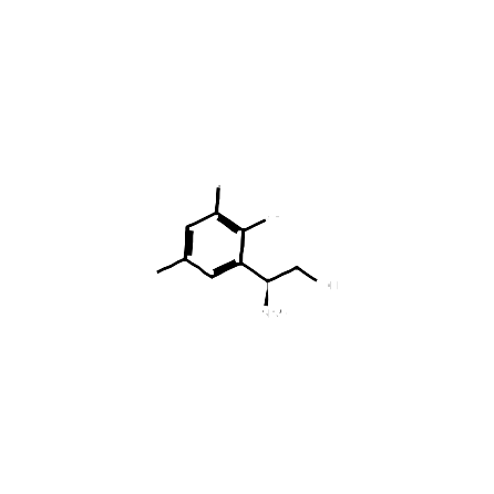 CN[C@H](CO)c1cc(C)cc(C=O)c1O